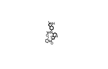 CCOC[C@@H]1CCCN1C(=O)c1cc2nccc(Nc3ccc4[nH]c(C)cc4c3)c2s1